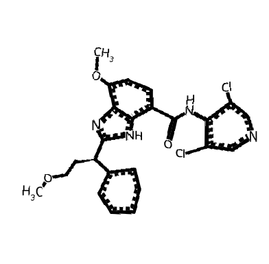 COCC[C@H](c1ccccc1)c1nc2c(OC)ccc(C(=O)Nc3c(Cl)cncc3Cl)c2[nH]1